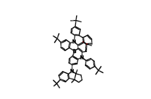 Cc1cc2c3c(c1)N(c1ccc(C(C)(C)C)cc1-c1ccccc1)c1cc(C(C)(C)C)ccc1B3c1ccc(N3c4ccc(C(C)(C)C)cc4C4(C)CCCC34C)cc1N2c1ccc(C(C)(C)C)cc1